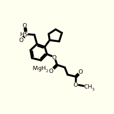 COC(=O)CCC(=O)Oc1cccc(C[SH](=O)=O)c1C1CCCC1.[MgH2]